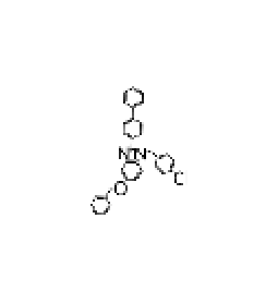 Clc1ccc(Cn2c(-c3ccc(-c4ccccc4)cc3)nc3cc(OCc4ccccc4)ccc32)cc1